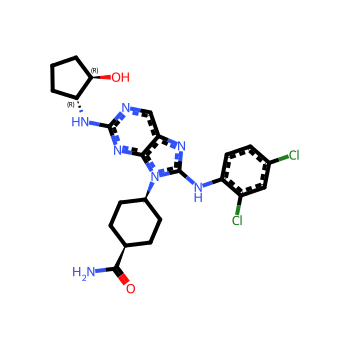 NC(=O)[C@H]1CC[C@@H](n2c(Nc3ccc(Cl)cc3Cl)nc3cnc(N[C@@H]4CCC[C@H]4O)nc32)CC1